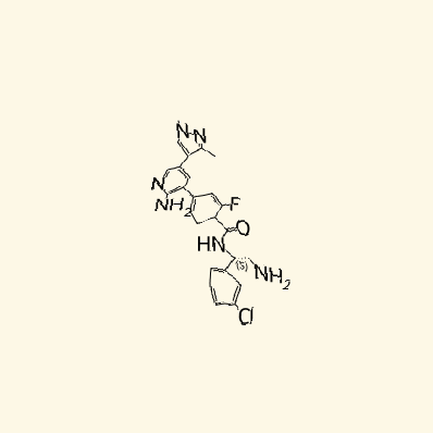 Cc1nn(C)cc1-c1cnc(N)c(C2=CCC(C(=O)N[C@H](CN)c3cccc(Cl)c3)C(F)=C2)c1